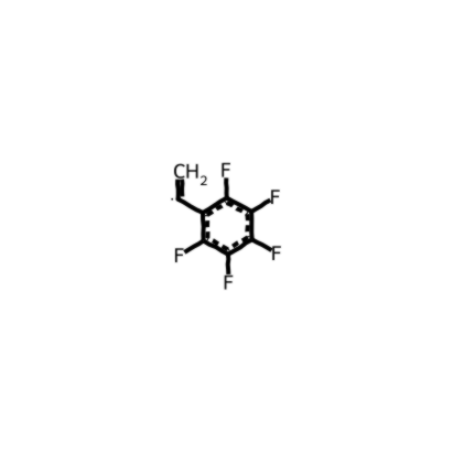 C=[C]c1c(F)c(F)c(F)c(F)c1F